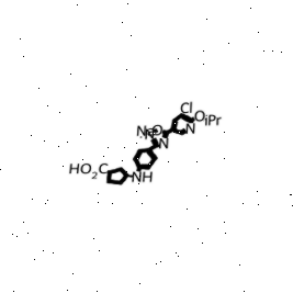 CC(C)Oc1ncc(-c2nc(-c3ccc(N[C@H]4CC[C@@H](C(=O)O)C4)cc3)no2)cc1Cl.[Na]